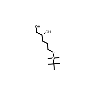 CC(C)(C)[Si](C)(C)OCCC[C@@H](O)CO